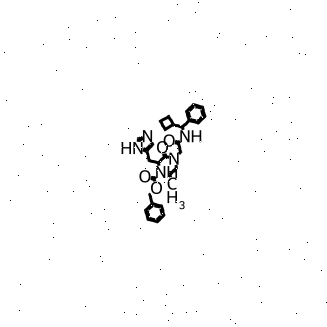 CCCN(CC(=O)NC(c1ccccc1)C1CCC1)C(=O)C(Cc1cnc[nH]1)NC(=O)OCc1ccccc1